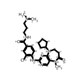 CN(C)CCCNC(=O)c1ccc(Nc2ncc3c(n2)N(C2CCCC2)CCC(=O)N3C)c(Cl)c1